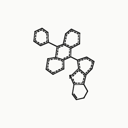 C1=Cc2sc3c(-c4c5ccccc5c(-c5ccccc5)c5ccccc45)cccc3c2CC1